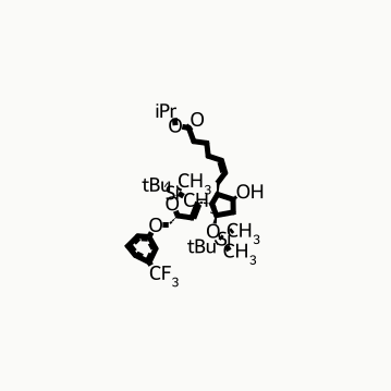 CC(C)OC(=O)CCC/C=C\C[C@@H]1[C@@H](/C=C/[C@H](COc2cccc(C(F)(F)F)c2)O[Si](C)(C)C(C)(C)C)[C@H](O[Si](C)(C)C(C)(C)C)C[C@@H]1O